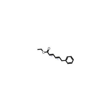 CCOC(=O)/C=C/C=C/Cc1ccccc1